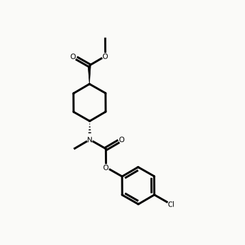 COC(=O)[C@H]1CC[C@H](N(C)C(=O)Oc2ccc(Cl)cc2)CC1